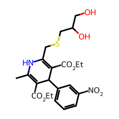 CCOC(=O)C1=C(C)NC(CSCC(O)CO)=C(C(=O)OCC)C1c1cccc([N+](=O)[O-])c1